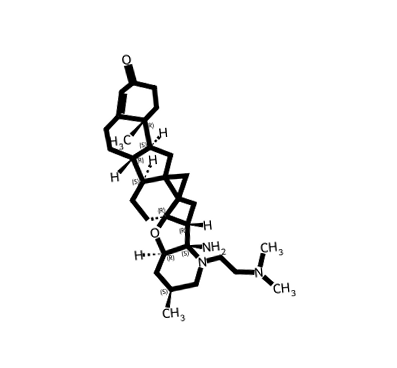 C[C@H]1C[C@H]2O[C@@]34CC[C@H]5[C@@H]6CCC7=CC(=O)CC[C@]7(C)[C@H]6CC56CC63C[C@@H]4[C@]2(N)N(CCN(C)C)C1